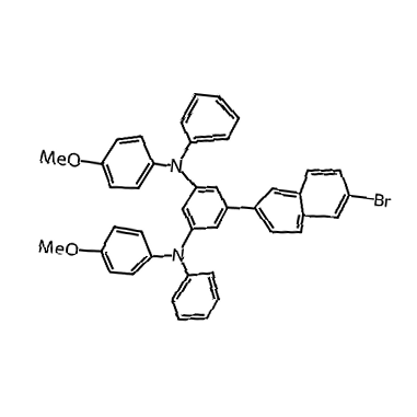 COc1ccc(N(c2ccccc2)c2cc(-c3ccc4cc(Br)ccc4c3)cc(N(c3ccccc3)c3ccc(OC)cc3)c2)cc1